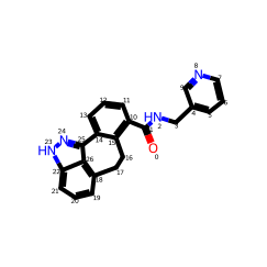 O=C(NCc1cccnc1)c1cccc2c1CCc1cccc3[nH]nc-2c13